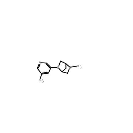 Bc1cncc(N2CC3CC2CN3P)c1